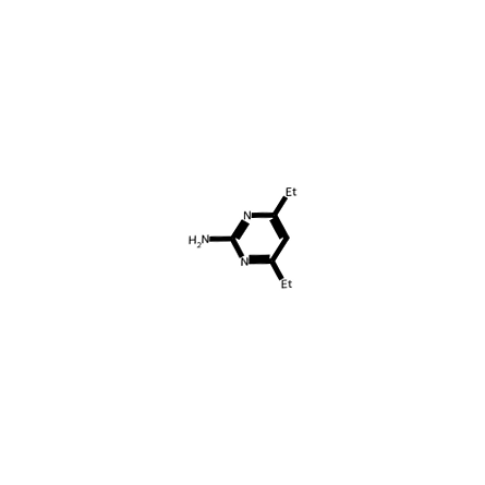 CCc1cc(CC)nc(N)n1